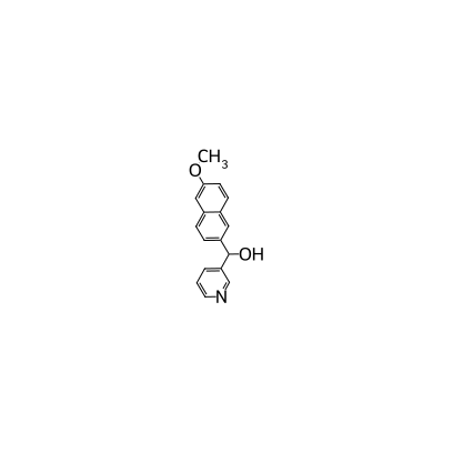 COc1ccc2cc(C(O)c3cccnc3)ccc2c1